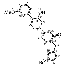 COc1cccc(C2=CCN(c3ncn(Cc4ccc(Br)s4)c(=O)n3)C[C@@H]2O)n1